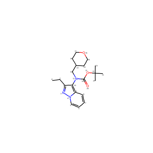 CCc1nn2ccccc2c1N(CC1CCOCC1)C(=O)OC(C)(C)C